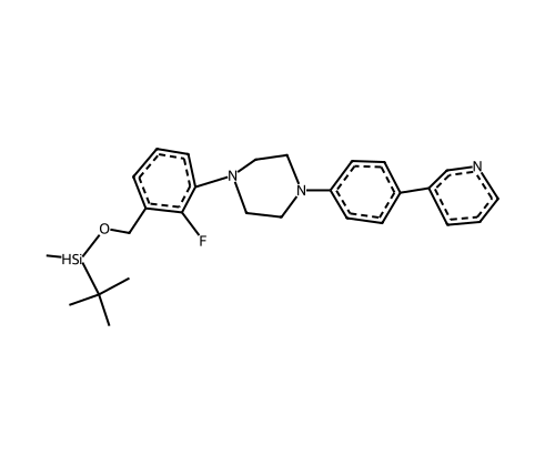 C[SiH](OCc1cccc(N2CCN(c3ccc(-c4cccnc4)cc3)CC2)c1F)C(C)(C)C